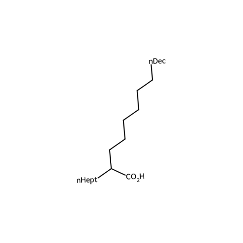 CCCCCCCCCCCCCCCCC(CCCCCCC)C(=O)O